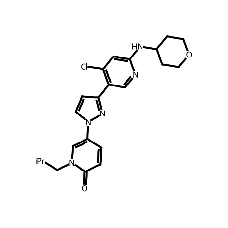 CC(C)Cn1cc(-n2ccc(-c3cnc(NC4CCOCC4)cc3Cl)n2)ccc1=O